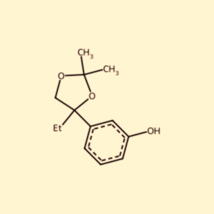 CCC1(c2cccc(O)c2)COC(C)(C)O1